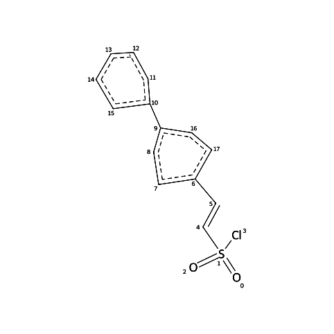 O=S(=O)(Cl)C=Cc1ccc(-c2ccccc2)cc1